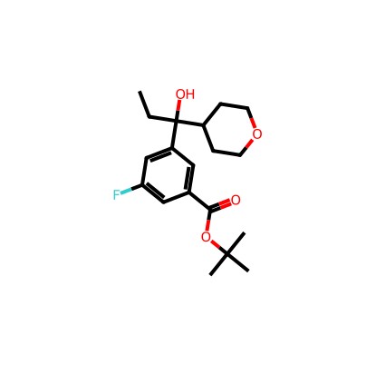 CCC(O)(c1cc(F)cc(C(=O)OC(C)(C)C)c1)C1CCOCC1